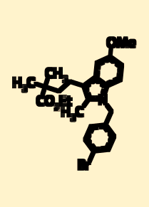 CCOC(=O)C(C)(C)CCc1c(C)n(Cc2ccc(Br)cc2)c2ccc(OC)cc12